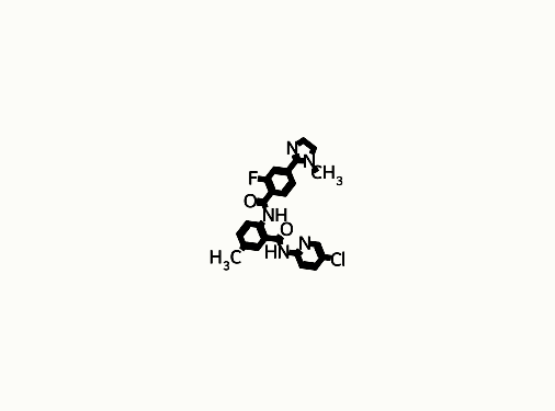 Cc1ccc(NC(=O)c2ccc(C3=NCCN3C)cc2F)c(C(=O)Nc2ccc(Cl)cn2)c1